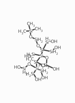 C[Si](C)(C)O[SiH2]O[Si]([SiH2]O)([SiH2]O)[Si](O[SiH2]O)([SiH2]O)[Si](C)(C)[Si](O[SiH2]O)([SiH2]O)[SiH2]O